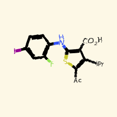 CC(=O)c1sc(Nc2ccc(I)cc2F)c(C(=O)O)c1C(C)C